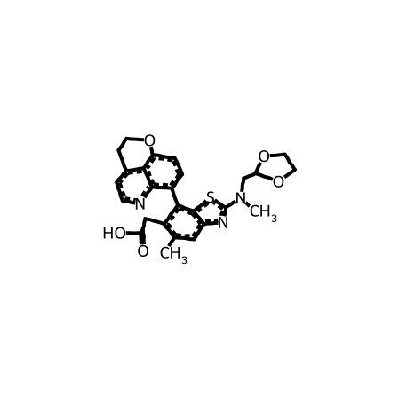 Cc1cc2nc(N(C)CC3OCCO3)sc2c(-c2ccc3c4c(ccnc24)CCO3)c1CC(=O)O